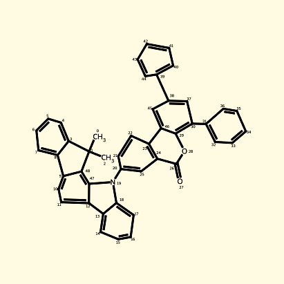 CC1(C)c2ccccc2-c2ccc3c4ccccc4n(-c4ccc5c(c4)c(=O)oc4c(-c6ccccc6)cc(-c6ccccc6)cc45)c3c21